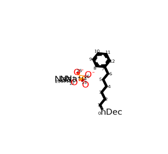 CCCCCCCCCCCCCCCCc1ccccc1.O=P([O-])([O-])[O-].[Na+].[Na+].[Na+]